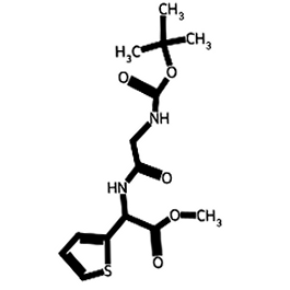 COC(=O)C(NC(=O)CNC(=O)OC(C)(C)C)c1cccs1